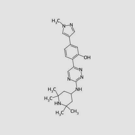 Cn1cc(-c2ccc(-c3cnc(NC4CC(C)(C)NC(C)(C)C4)nn3)c(O)c2)cn1